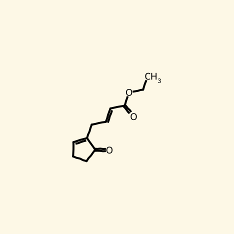 CCOC(=O)C=CCC1=CCCC1=O